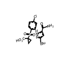 CC(C)(C)c1cc(C(N)=O)[nH]n1.O=C(O)C1(S(=O)(=O)c2ccc(Cl)cc2)CC1